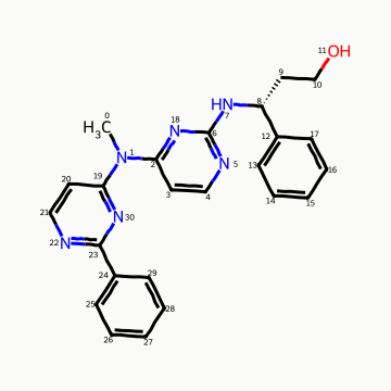 CN(c1ccnc(N[C@H](CCO)c2ccccc2)n1)c1ccnc(-c2ccccc2)n1